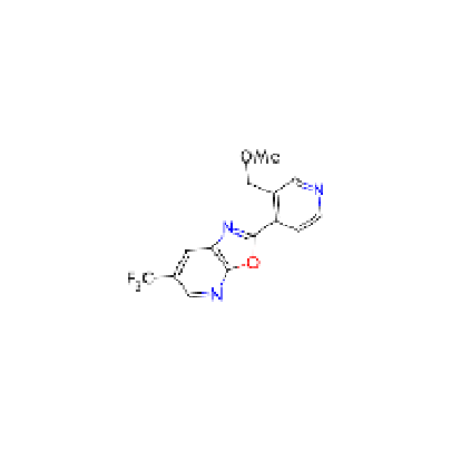 COCc1cnccc1-c1nc2cc(C(F)(F)F)cnc2o1